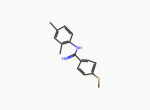 CSc1ccc(C(=N)Nc2ccc(C)cc2C)cc1